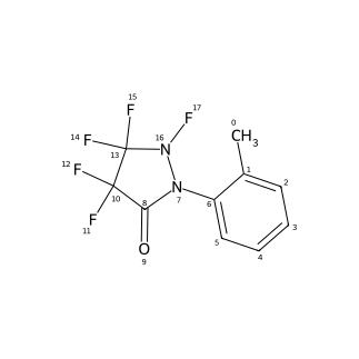 Cc1ccccc1N1C(=O)C(F)(F)C(F)(F)N1F